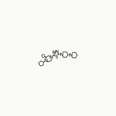 O=C1CN(c2nnc(N3CCC(N4CCCCC4)CC3)s2)CCN1C1CCCC1